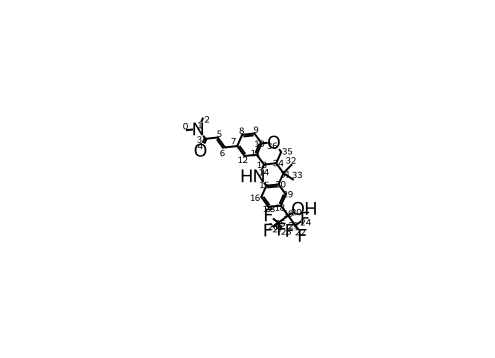 CN(C)C(=O)C=Cc1ccc2c(c1)C1Nc3ccc(C(O)(C(F)(F)F)C(F)(F)F)cc3C(C)(C)C1CO2